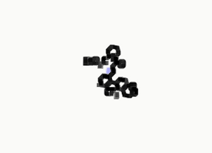 CCOC(=O)C1CCCCN1C(=O)/C=C/c1cc[c]c(C(F)(F)F)c1-c1ccc2c(c1)CCOO2